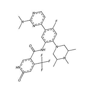 CC1CN(c2cc(F)c(-c3ccnc(N(C)C)n3)cc2NC(=O)c2c[nH]c(=O)cc2C(F)(F)F)CC(C)N1C